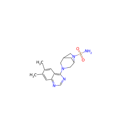 Cc1cc2ncnc(N3CC4CC(C3)N(S(N)(=O)=O)C4)c2cc1C